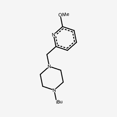 CCC(C)N1CCN(Cc2cccc(OC)n2)CC1